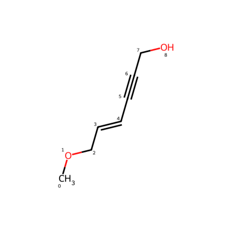 COCC=CC#CCO